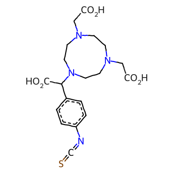 O=C(O)CN1CCN(CC(=O)O)CCN(C(C(=O)O)c2ccc(N=C=S)cc2)CC1